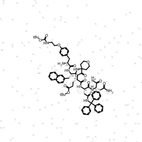 CC(C)(C)OC(=O)CC[C@H](CC(=O)C1(NC(=O)[C@H](Cc2ccc3ccccc3c2)NC(=O)[C@@H](N)Cc2ccc(OCCNC(=O)OC(C)(C)C)cc2)CCOCC1)C(=O)N[C@@H](CC(=O)NC(c1ccccc1)(c1ccccc1)c1ccccc1)C(=O)N[C@@H](CC(N)=O)C(N)=O